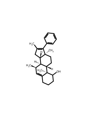 CC1=C(c2ccccc2)[C@@]2(C)CC[C@H]3[C@@H]([C@H](C)C=C4CCCC(O)[C@@]43C)[C@@H]2C1